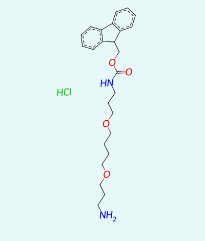 Cl.NCCCOCCCCOCCCNC(=O)OCC1c2ccccc2-c2ccccc21